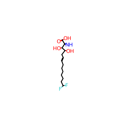 N=C(C(=O)O)C(O)C(O)C/C=C/CCCCCCC(F)F